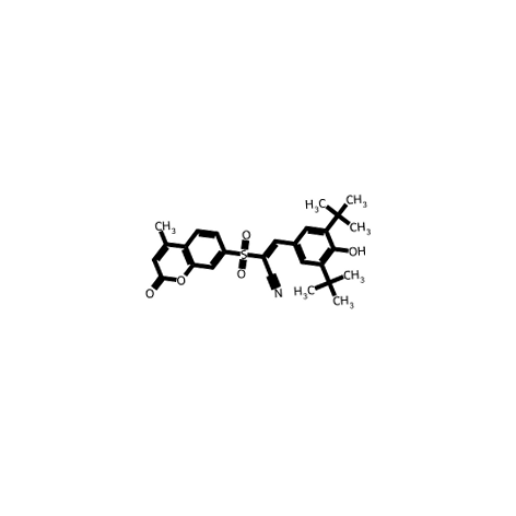 Cc1cc(=O)oc2cc(S(=O)(=O)/C(C#N)=C/c3cc(C(C)(C)C)c(O)c(C(C)(C)C)c3)ccc12